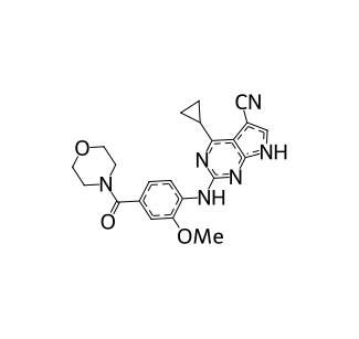 COc1cc(C(=O)N2CCOCC2)ccc1Nc1nc(C2CC2)c2c(C#N)c[nH]c2n1